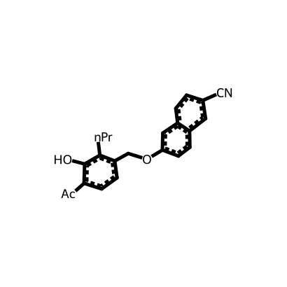 CCCc1c(COc2ccc3cc(C#N)ccc3c2)ccc(C(C)=O)c1O